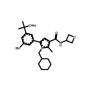 COC(C)(C)c1cc(-c2cc(C(=O)NC3COC3)c(C)n2CC2CCCCC2)cc(C(C)(C)C)c1